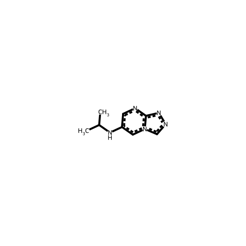 CC(C)Nc1cnc2nncn2c1